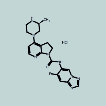 C[C@H]1CN(c2ccnc3c2CCN3C(=O)Nc2cn3ncnc3cc2F)CCN1.Cl